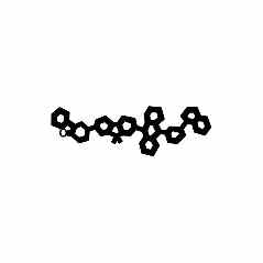 CC1(C)c2cc(-c3c4ccccc4c(-c4cccc(-c5cccc6ccccc56)c4)c4ccccc34)ccc2-c2ccc(C3C=Cc4oc5ccccc5c4C3)cc21